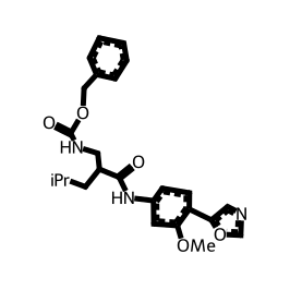 COc1cc(NC(=O)C(CNC(=O)OCc2ccccc2)CC(C)C)ccc1-c1cnco1